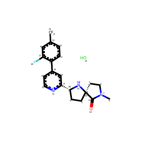 CN1CC[C@@]2(CC[C@H](c3cc(-c4ccc(C(F)(F)F)cc4F)ccn3)N2)C1=O.Cl